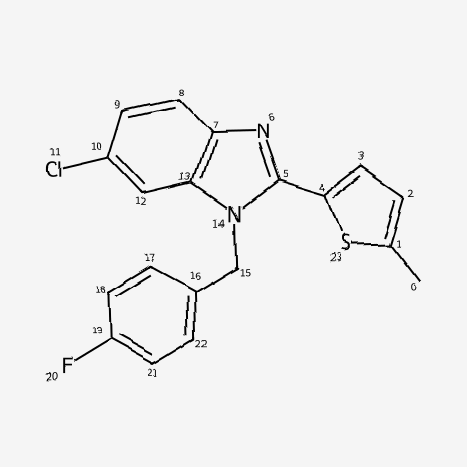 Cc1ccc(-c2nc3ccc(Cl)cc3n2Cc2ccc(F)cc2)s1